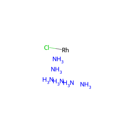 N.N.N.N.N.N.[Cl][Rh]